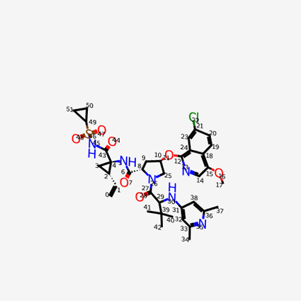 C=C[C@@H]1C[C@]1(NC(=O)[C@@H]1C[C@@H](Oc2ncc(OC)c3ccc(Cl)cc23)CN1C(=O)C(Nc1cc(C)nc(C)c1)C(C)(C)C)C(=O)NS(=O)(=O)C1CC1